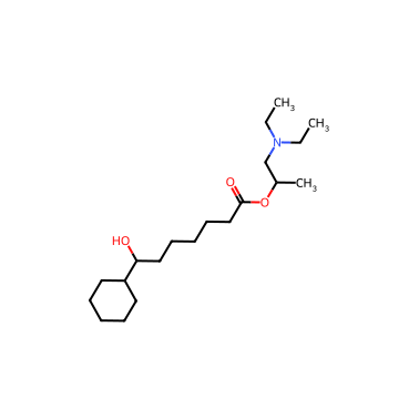 CCN(CC)CC(C)OC(=O)CCCCCC(O)C1CCCCC1